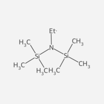 C[CH]N([Si](C)(C)C)[Si](C)(C)C